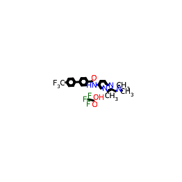 Cc1c(CN(C)C)nc2ccc(NC(=O)c3ccc(-c4ccc(C(F)(F)F)cc4)cc3)cn12.O=C(O)C(F)(F)F